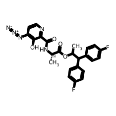 CC(OC(=O)[C@H](C)NC(=O)c1nccc(N=[N+]=[N-])c1O)C(c1ccc(F)cc1)c1ccc(F)cc1